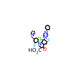 O=C(O)c1cn(-c2ccc(CN3CCCC3)cc2F)c2c(Cl)c(N3CCN(c4ccccc4)CC3)c(F)cc2c1=O